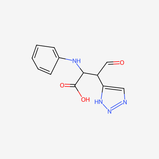 O=CC(c1cnn[nH]1)C(Nc1ccccc1)C(=O)O